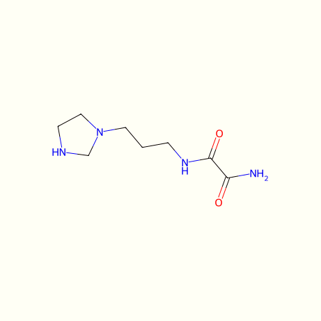 NC(=O)C(=O)NCCCN1CCNC1